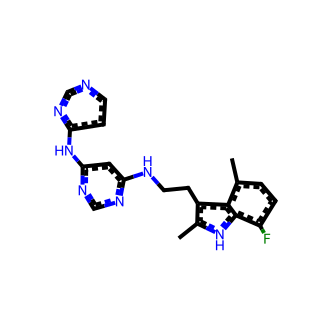 Cc1[nH]c2c(F)ccc(C)c2c1CCNc1cc(Nc2ccncn2)ncn1